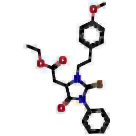 CCOC(=O)CC1C(=O)N(c2ccccc2)C(=S)N1CCc1ccc(OC)cc1